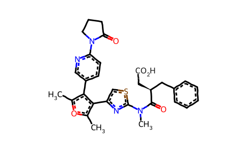 Cc1oc(C)c(-c2csc(N(C)C(=O)[C@@H](CC(=O)O)Cc3ccccc3)n2)c1-c1ccc(N2CCCC2=O)nc1